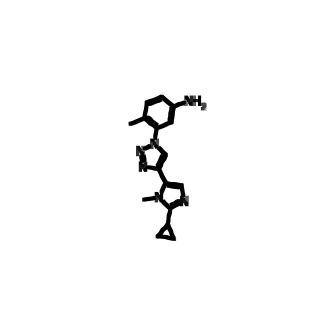 Cc1ccc(N)cc1-n1cc(-c2cnc(C3CC3)n2C)nn1